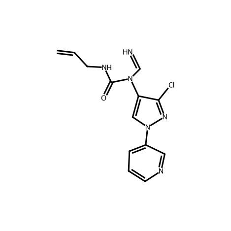 C=CCNC(=O)N(C=N)c1cn(-c2cccnc2)nc1Cl